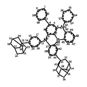 c1ccc(-c2cc3c4c(c2)N(c2ccc(C56CC7CC(CC(C7)C5)C6)cc2)c2ccc(C56CC7CC8CC(C5)C8(C7)C6)cc2B4c2ccccc2N3c2ccccc2)cc1